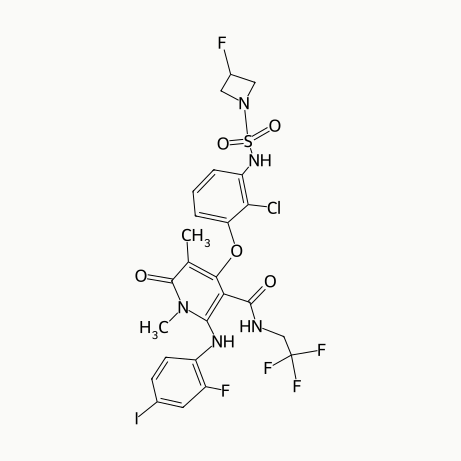 Cc1c(Oc2cccc(NS(=O)(=O)N3CC(F)C3)c2Cl)c(C(=O)NCC(F)(F)F)c(Nc2ccc(I)cc2F)n(C)c1=O